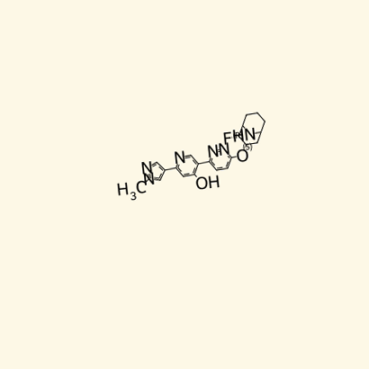 Cn1cc(-c2cc(O)c(-c3ccc(O[C@H]4CC5CCCC(N5)[C@H]4F)nn3)cn2)cn1